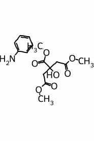 COC(=O)CC(O)(CC(=O)OC)C(=O)OC.Nc1ccccc1